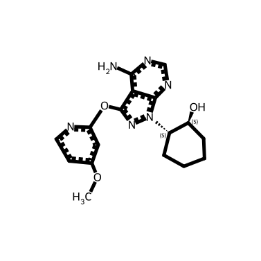 COc1ccnc(Oc2nn([C@H]3CCCC[C@@H]3O)c3ncnc(N)c23)c1